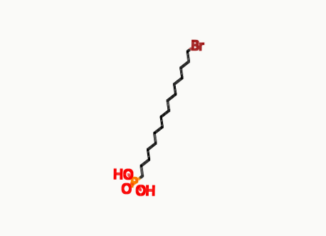 O=P(O)(O)CCCCCCCCCCCCCCCCBr